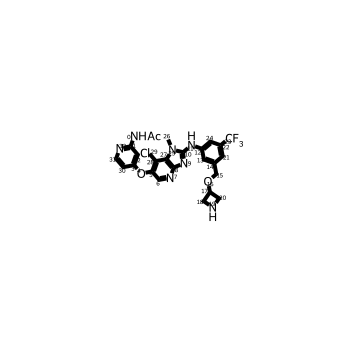 CC(=O)Nc1cc(Oc2cnc3nc(Nc4cc(COC5CNC5)cc(C(F)(F)F)c4)n(C)c3c2Cl)ccn1